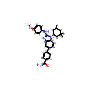 C[C@@H]1C[C@H](n2c(Nc3ccc(OC(F)(F)F)cc3)nc3cc(-c4ccc(C(N)=O)cc4)ccc32)CC(C)(C)C1